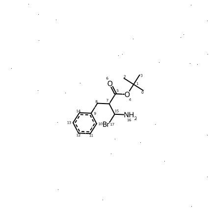 CC(C)(C)OC(=O)C(Cc1ccccc1)C(N)Br